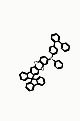 c1ccc(-c2ccccc2-c2ccc(N(c3ccccc3)c3ccc4c(c3)Oc3cc5c(cc3O4)-c3ccccc3C53c4ccccc4-c4ccccc43)cc2)cc1